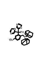 CC(C)(C)c1ccc(CP(C23CC4CC(CC(C4)C2)C3)C23CC4CC(CC(C4)C2)C3)c(C(P)(c2cnccn2)c2cnccn2)c1